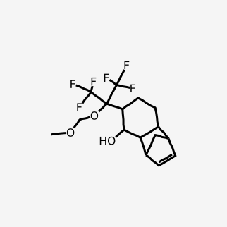 COCOC(C1CCC2C3C=CC(C3)C2C1O)(C(F)(F)F)C(F)(F)F